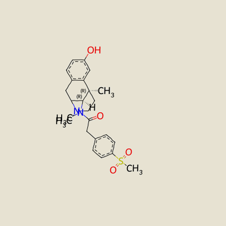 CN1CC[C@]2(C)c3cc(O)ccc3CC1[C@@H]2N(C)C(=O)Cc1ccc(S(C)(=O)=O)cc1